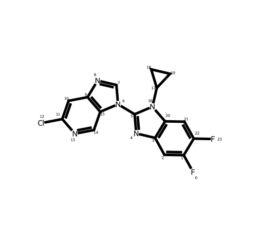 Fc1cc2nc(-n3cnc4cc(Cl)ncc43)n(C3CC3)c2cc1F